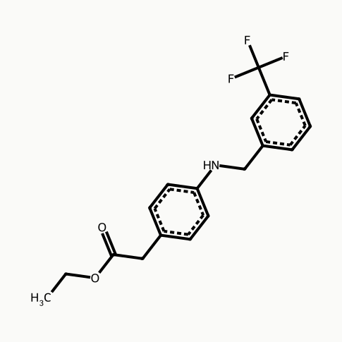 CCOC(=O)Cc1ccc(NCc2cccc(C(F)(F)F)c2)cc1